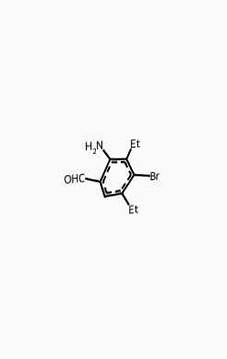 CCc1cc(C=O)c(N)c(CC)c1Br